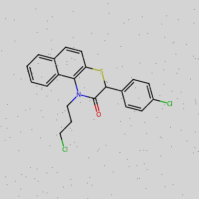 O=C1C(c2ccc(Cl)cc2)Sc2ccc3ccccc3c2N1CCCCl